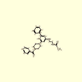 CC(=O)NCCNc1cc(N2CCN(C(=O)c3ccncc3)CC2)nc(-c2ccccc2)n1